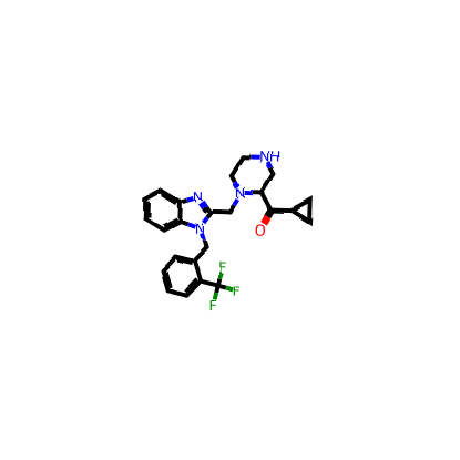 O=C(C1CC1)C1CNCCN1Cc1nc2ccccc2n1Cc1ccccc1C(F)(F)F